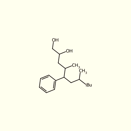 CCC(C)C(C)CC(c1ccccc1)C(C)CC(O)CO